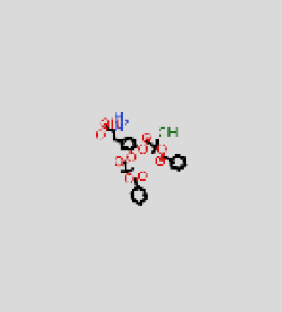 CC(C)(OC(=O)c1ccccc1)C(=O)Oc1ccc(C[C@H](N)C(=O)O)cc1OC(=O)C(C)(C)OC(=O)c1ccccc1.Cl